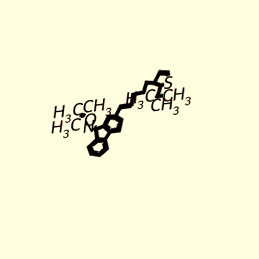 CC(C)(C)O/N=C1/c2ccccc2-c2ccc(/C=C/CCCC3C=CSC3C(C)(C)C)cc21